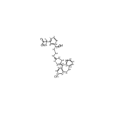 CC(C)(C(=O)O)c1cccc(C(O)CCCN2CCC(=C3c4ccc(Cl)cc4CCc4cccnc43)CC2)c1